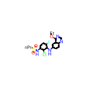 CCCS(=O)(=O)Nc1ccc(F)c(Nc2ccc3ncnc(OCC)c3c2)c1Cl